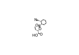 N#Cc1ccccc1B1OC=CC(C(=O)O)O1